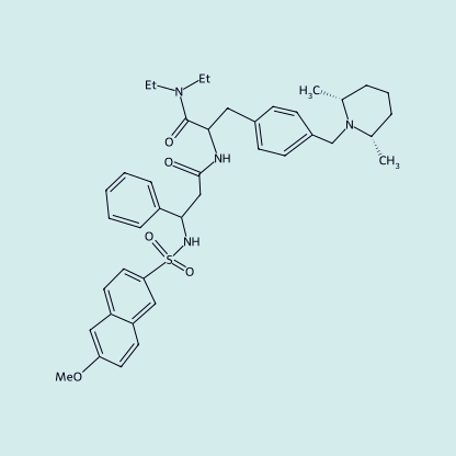 CCN(CC)C(=O)C(Cc1ccc(CN2[C@H](C)CCC[C@@H]2C)cc1)NC(=O)CC(NS(=O)(=O)c1ccc2cc(OC)ccc2c1)c1ccccc1